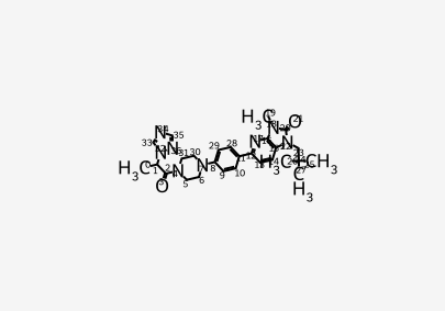 CC(C(=O)N1CCN(c2ccc(-c3ccc4c(n3)n(C)c(=O)n4CC(C)(C)C)cc2)CC1)n1cncn1